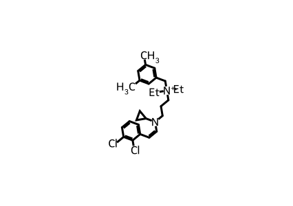 CC[N+](CC)(CCCN(/C=C\c1cccc(Cl)c1Cl)C1CC1)Cc1cc(C)cc(C)c1